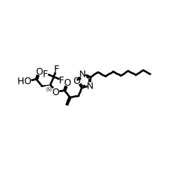 C=C(Cc1nc(CCCCCCCC)no1)C(=O)O[C@@H](CC(=O)O)C(F)(F)F